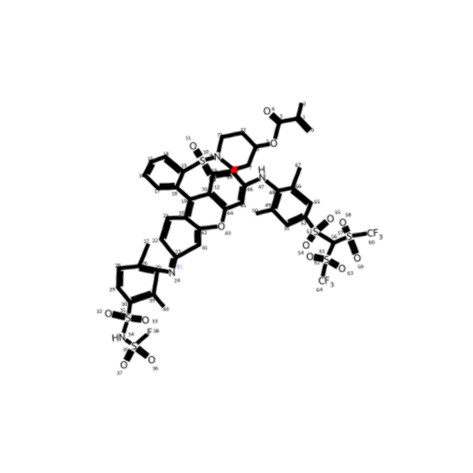 C=C(C)C(=O)OC1CCN(S(=O)(=O)c2ccccc2-c2c3cc/c(=N\c4c(C)ccc(S(=O)(=O)NS(=O)(=O)F)c4C)cc-3oc3cc(Nc4c(C)cc(S(=O)(=O)C(S(=O)(=O)C(F)(F)F)S(=O)(=O)C(F)(F)F)cc4C)ccc23)CC1